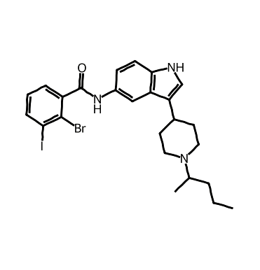 CCCC(C)N1CCC(c2c[nH]c3ccc(NC(=O)c4cccc(I)c4Br)cc23)CC1